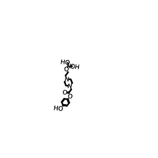 O=C(CN1CCN(CCON(O)O)CC1)Oc1ccc(O)cc1